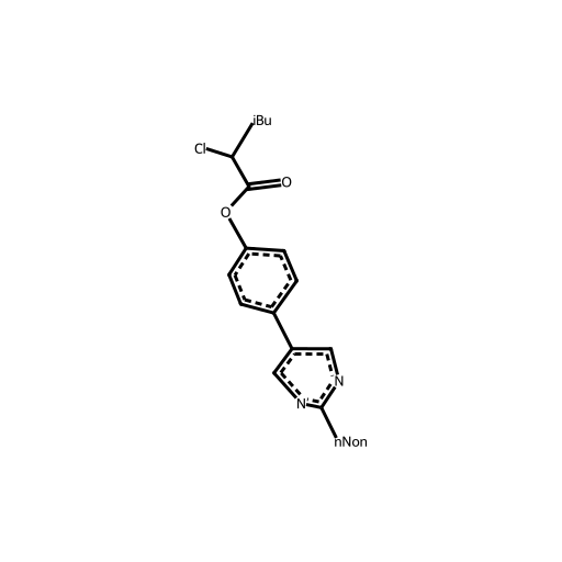 CCCCCCCCCc1ncc(-c2ccc(OC(=O)C(Cl)C(C)CC)cc2)cn1